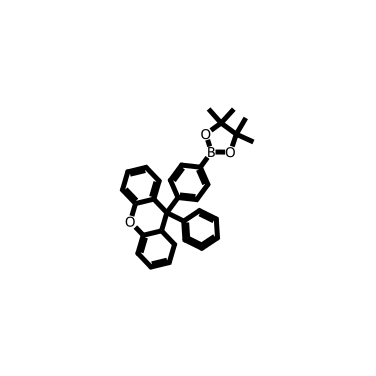 CC1(C)OB(c2ccc(C3(C4=C=C=CC=C4)c4ccccc4OC4=CC=CCC43)cc2)OC1(C)C